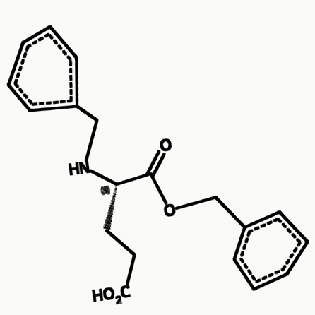 O=C(O)CC[C@H](NCc1ccccc1)C(=O)OCc1ccccc1